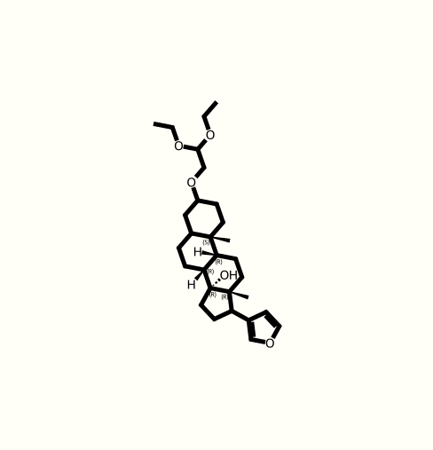 CCOC(COC1CC[C@@]2(C)C(CC[C@@H]3[C@H]2CC[C@]2(C)C(c4ccoc4)CC[C@@]32O)C1)OCC